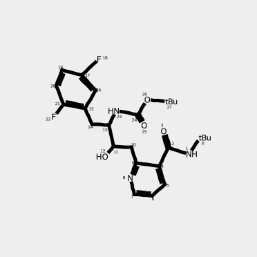 CC(C)(C)NC(=O)c1cccnc1CC(O)C(Cc1cc(F)ccc1F)NC(=O)OC(C)(C)C